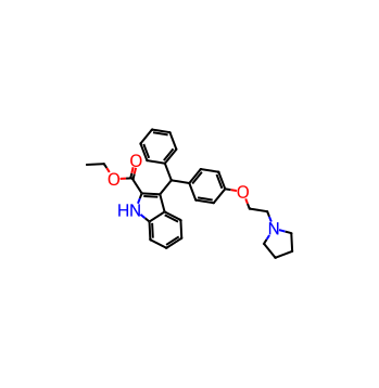 CCOC(=O)c1[nH]c2ccccc2c1C(c1ccccc1)c1ccc(OCCN2CCCC2)cc1